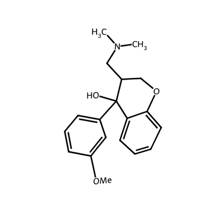 COc1cccc(C2(O)c3ccccc3OCC2CN(C)C)c1